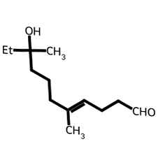 CCC(C)(O)CCCC(C)=CCCC=O